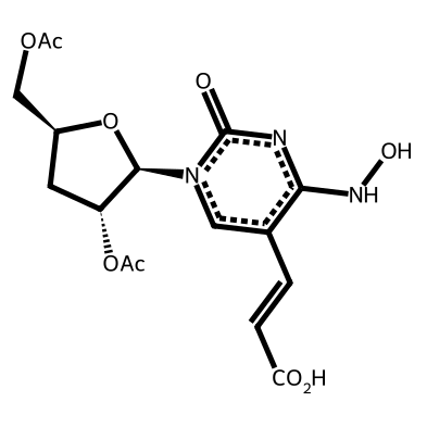 CC(=O)OC[C@@H]1C[C@@H](OC(C)=O)[C@H](n2cc(C=CC(=O)O)c(NO)nc2=O)O1